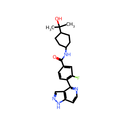 CC(C)(O)C1CCC(NC(=O)c2ccc(-c3nccc4[nH]ncc34)c(F)c2)CC1